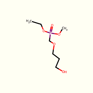 CCOP(=O)(COCCCO)OC